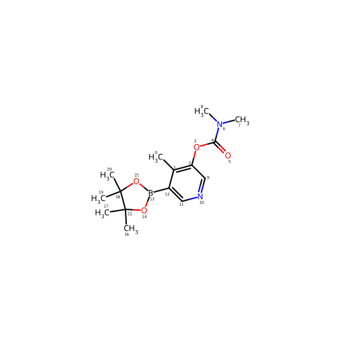 Cc1c(OC(=O)N(C)C)cncc1B1OC(C)(C)C(C)(C)O1